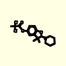 CC(Cl)(Cl)C(=O)Oc1ccc2c(c1)C(C)(C)C(N1CCCCC1)O2